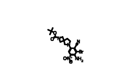 CC(C)(C)OC(=O)N1CC2(CCN(c3cc([N+](=O)[O-])c(N)c(Br)c3C#N)C2)C1